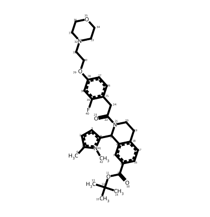 Cc1ccc(C2c3cc(C(=O)OC(C)(C)C)ccc3CCN2C(=O)Cc2ccc(OCCN3CCOCC3)cc2F)n1C